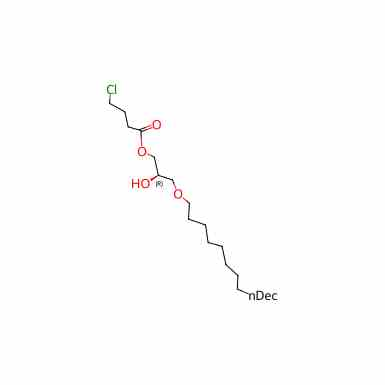 CCCCCCCCCCCCCCCCCCOC[C@@H](O)COC(=O)CCCCl